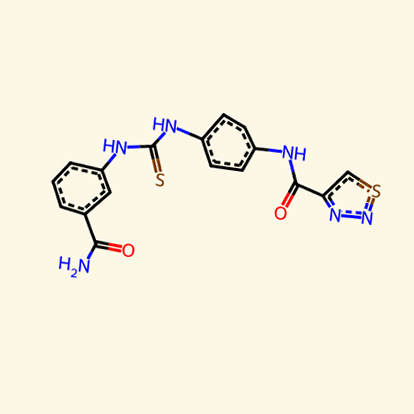 NC(=O)c1cccc(NC(=S)Nc2ccc(NC(=O)c3csnn3)cc2)c1